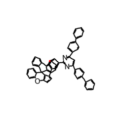 c1ccc(-c2ccc(-c3cc(-c4ccc(-c5ccccc5)cc4)nc(-c4cccc(-c5cccc6c5C5(c7ccccc7O6)c6ccccc6-c6ccccc65)c4)n3)cc2)cc1